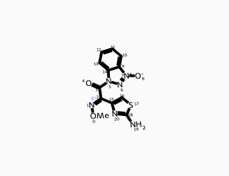 CO/N=C(/C(=O)n1n[n+]([O-])c2ccccc21)c1csc(N)n1